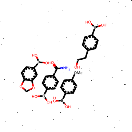 COc1ccc(B(O)O)cc1.NC(=O)c1ccc(B(O)O)cc1.OB(O)c1ccc2c(c1)OCO2.OCCc1ccc(B(O)O)cc1